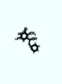 Cc1c(C(O)Cc2ccccc2)cc(I)[nH]c1=O